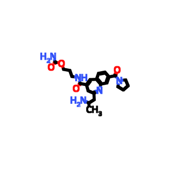 CC(N)CC1=Nc2cc(C(=O)N3CCCC3)ccc2C=C(C(=O)NCCCOC(N)=O)C1